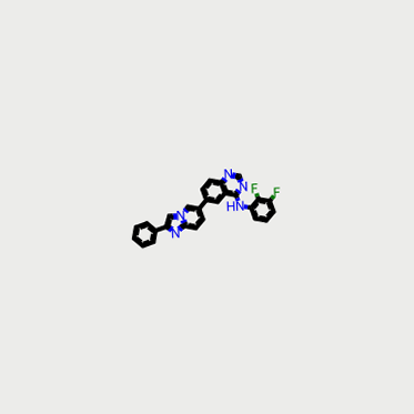 Fc1cccc(Nc2ncnc3ccc(-c4ccc5nc(-c6ccccc6)cn5c4)cc23)c1F